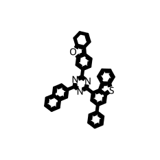 C1=Cc2c(oc3cc(-c4nc(-c5ccc6ccccc6c5)nc(-c5cc(-c6ccccc6)cc6sc7ccccc7c56)n4)ccc23)CC1